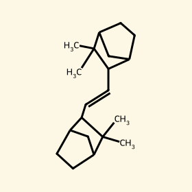 CC1(C)C2CCC(C2)C1C=CC1C2CCC(C2)C1(C)C